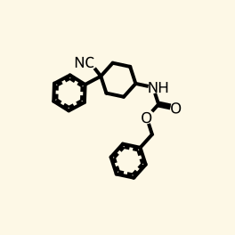 N#CC1(c2ccccc2)CCC(NC(=O)OCc2ccccc2)CC1